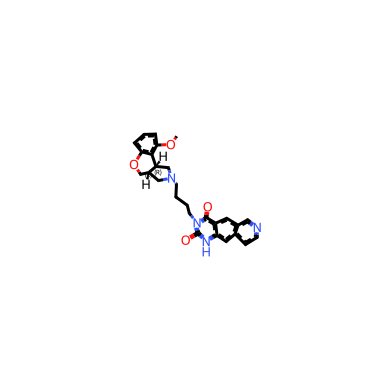 COc1cccc2c1[C@@H]1CN(CCCCn3c(=O)[nH]c4cc5ccncc5cc4c3=O)C[C@@H]1CO2